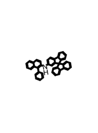 c1ccc(-c2c(Nc3ccc4c(c3)C3(c5ccccc5-c5ccccc53)c3ccccc3-4)ccc3ccccc23)cc1